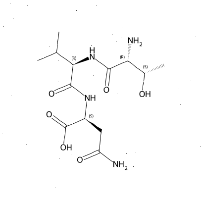 CC(C)[C@@H](NC(=O)[C@H](N)[C@H](C)O)C(=O)N[C@@H](CC(N)=O)C(=O)O